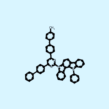 Cc1ccc(-c2ccc(-c3cc(-c4ccc(-c5ccccc5)cc4)nc(-n4c5ccccc5c5c4ccc4c6ccccc6n(-c6ccccc6)c45)n3)cc2)cc1